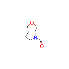 O=CN1CCC2COCC21